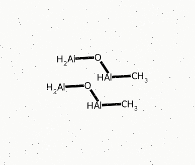 [CH3][AlH][O][AlH2].[CH3][AlH][O][AlH2]